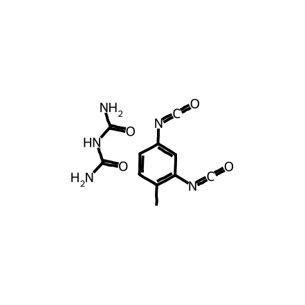 Cc1ccc(N=C=O)cc1N=C=O.NC(=O)NC(N)=O